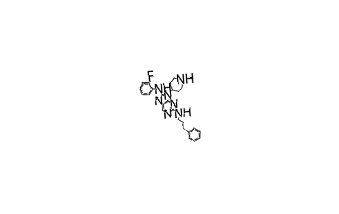 Fc1ccccc1Nc1nc2cnc(NCCCc3ccccc3)nc2n1C1CCNCC1